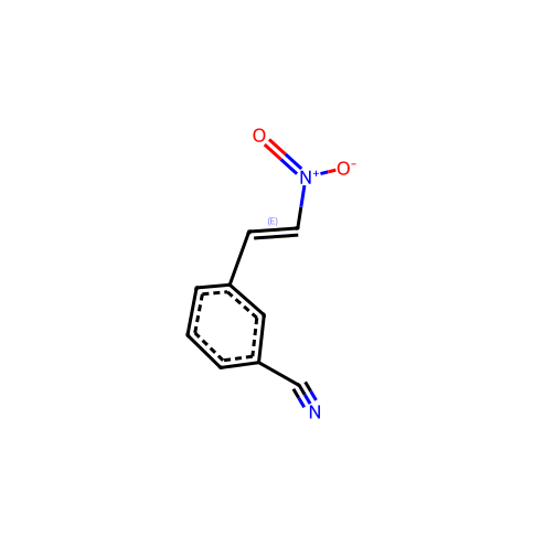 N#Cc1cccc(/C=C/[N+](=O)[O-])c1